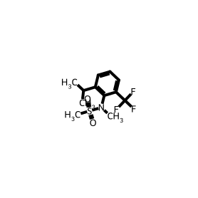 CC(C)c1cccc(C(F)(F)F)c1N(C)S(C)(=O)=O